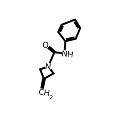 C=C1CN(C(=O)Nc2ccccc2)C1